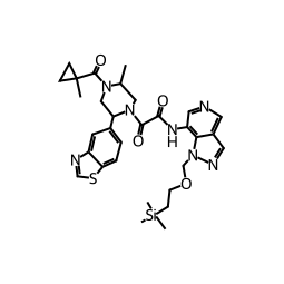 CC1CN(C(=O)C(=O)Nc2cncc3cnn(COCC[Si](C)(C)C)c23)C(c2ccc3scnc3c2)CN1C(=O)C1(C)CC1